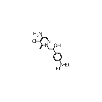 C=C1C(Cl)=C(N)C=NN1CC(O)c1ccc(N(CC)CC)cc1